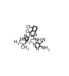 CC(C)Cc1cc(-n2c(C(C)Nc3ncnc(N)c3C#N)nc3cccc(Cl)c3c2=O)n[nH]1